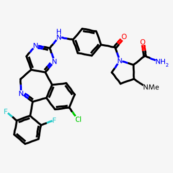 CNC1CCN(C(=O)c2ccc(Nc3ncc4c(n3)-c3ccc(Cl)cc3C(c3c(F)cccc3F)=NC4)cc2)C1C(N)=O